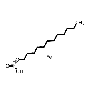 CCCCCCCCCCCCO[PH](=O)O.[Fe]